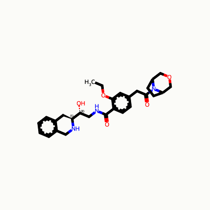 CCOc1cc(CC(=O)N2C3CCC2COC3)ccc1C(=O)NC[C@@H](O)[C@@H]1Cc2ccccc2CN1